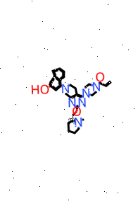 C=CC(=O)N1CCN(c2nc(OC[C@H]3CCCCN3C)nc3c2CCN(c2cc(O)cc4ccccc24)C3)CC1